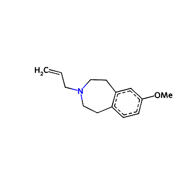 C=CCN1CCc2ccc(OC)cc2CC1